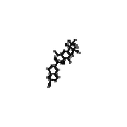 CCc1cc(C(F)(C(F)(F)F)C(F)(F)F)cc(C)c1NC(=O)c1ccc2nc(Cl)ccc2c1